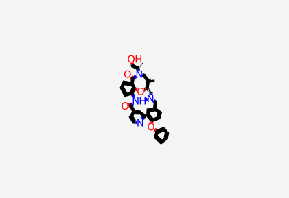 C[C@@H]1CN([C@@H](C)CO)C(=O)c2cccc(NC(=O)c3ccncc3)c2O[C@H]1CN(C)Cc1ccc(Oc2ccccc2)cc1